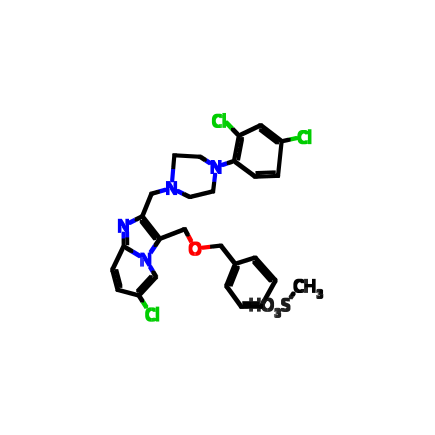 CS(=O)(=O)O.Clc1ccc(N2CCN(Cc3nc4ccc(Cl)cn4c3COCc3ccccc3)CC2)c(Cl)c1